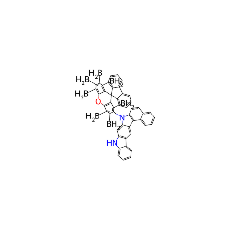 Bc1c(B)c(B)c2c(c1B)Oc1c(B)c(B)c(-n3c4cc5[nH]c6ccccc6c5cc4c4c5ccccc5ccc43)c(B)c1C21c2ccccc2-c2ccccc21